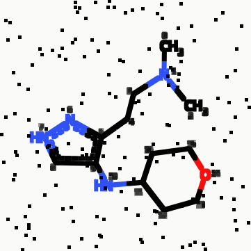 CN(C)CCc1n[nH]cc1NC1CCOCC1